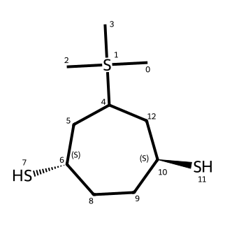 CS(C)(C)C1C[C@@H](S)CC[C@H](S)C1